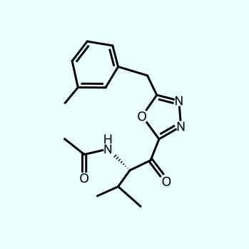 CC(=O)N[C@H](C(=O)c1nnc(Cc2cccc(C)c2)o1)C(C)C